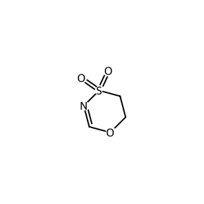 O=S1(=O)CCOC=N1